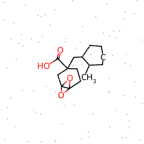 CC1CCCCC1CC1(C(=O)O)CCC23OC2(C1)O3